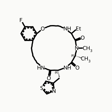 CCC1NCCOc2cc(F)ccc2CCCNC(=O)[C@@H](Cc2cscn2)NC(=O)[C@@H](C)N(C)C1=O